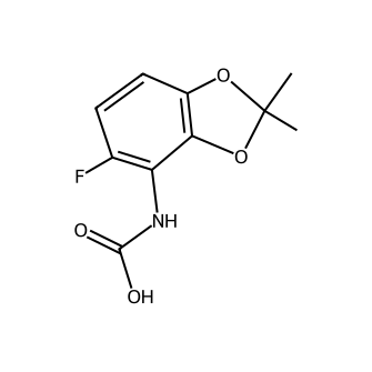 CC1(C)Oc2ccc(F)c(NC(=O)O)c2O1